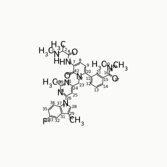 CNC(C)C(=O)Nc1ccc(-c2cccc(C(=O)N(C)C)c2)n(Cc2cc(-n3cc(C)c4cc(F)ccc43)nc(C)n2)c1=O